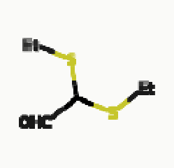 CCSC(C=O)SCC